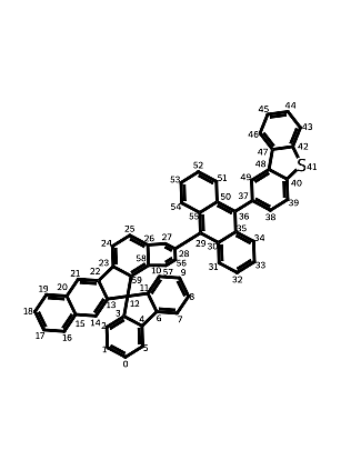 c1ccc2c(c1)-c1ccccc1C21c2cc3ccccc3cc2-c2ccc3cc(-c4c5ccccc5c(-c5ccc6sc7ccccc7c6c5)c5ccccc45)ccc3c21